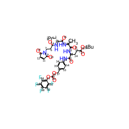 CC(C)C[C@@H](NC(=O)CCN1C(=O)C=CC1=O)C(=O)N[C@@H](C)C(=O)N[C@@H](CCC(=O)OC(C)(C)C)C(=O)Nc1ccc(COC(=O)Oc2c(F)c(F)c(F)c(F)c2F)cc1